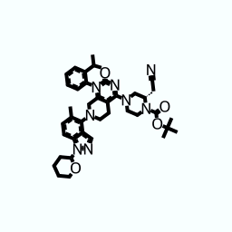 Cc1ccc2c(cnn2C2CCCCO2)c1N1CCc2c(N3CCN(C(=O)OC(C)(C)C)[C@@H](CC#N)C3)nc(=O)n(-c3ccccc3C(C)C)c2C1